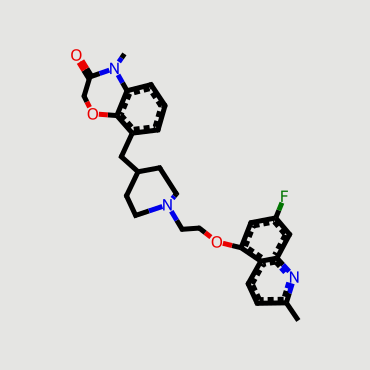 Cc1ccc2c(OCCN3CCC(Cc4cccc5c4OCC(=O)N5C)CC3)cc(F)cc2n1